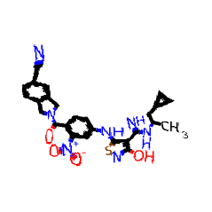 CC(CC1CC1)NC(=N)c1c(O)nsc1Nc1ccc(C(=O)N2Cc3ccc(C#N)cc3C2)c([N+](=O)[O-])c1